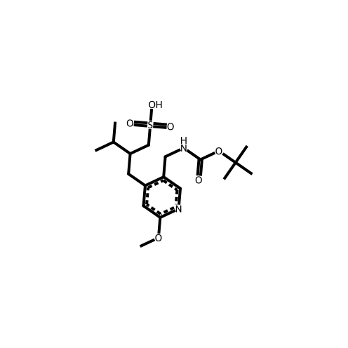 COc1cc(CC(CS(=O)(=O)O)C(C)C)c(CNC(=O)OC(C)(C)C)cn1